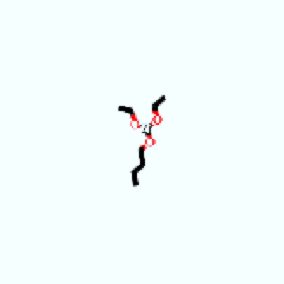 CCCC[O][Zr]([O]CC)[O]CC